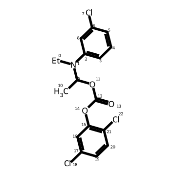 CCN(c1cccc(Cl)c1)C(C)OC(=O)Oc1cc(Cl)ccc1Cl